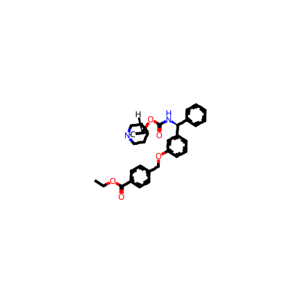 CCOC(=O)c1ccc(COc2cccc([C@@H](NC(=O)O[C@H]3CN4CCC3CC4)c3ccccc3)c2)cc1